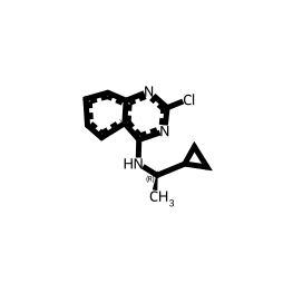 C[C@@H](Nc1nc(Cl)nc2ccccc12)C1CC1